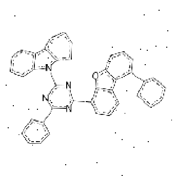 c1ccc(-c2nc(-c3cccc4c3oc3cccc(-c5ccccc5)c34)nc(-n3c4ccccc4c4ccccc43)n2)cc1